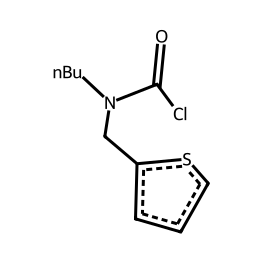 CCCCN(Cc1cccs1)C(=O)Cl